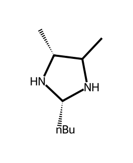 CCCC[C@H]1NC(C)[C@@H](C)N1